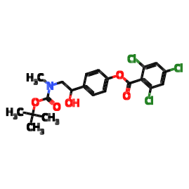 CN(CC(O)c1ccc(OC(=O)c2c(Cl)cc(Cl)cc2Cl)cc1)C(=O)OC(C)(C)C